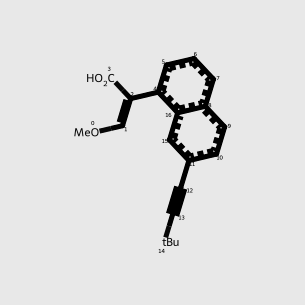 COC=C(C(=O)O)c1cccc2ccc(C#CC(C)(C)C)cc12